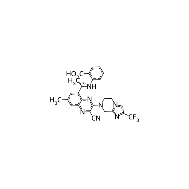 Cc1cc([C@@H](C)Nc2ccccc2C(=O)O)c2nc(N3CCn4cc(C(F)(F)F)nc4C3)c(C#N)nc2c1